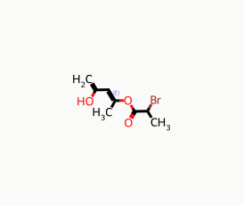 C=C(O)/C=C(\C)OC(=O)C(C)Br